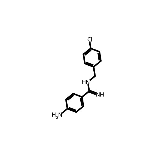 N=C(NCc1ccc(Cl)cc1)c1ccc(N)cc1